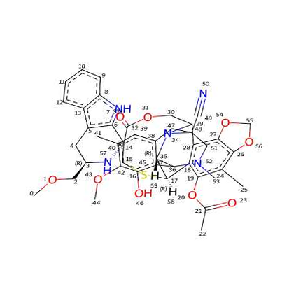 COC[C@H]1Cc2c([nH]c3ccccc23)[C@@]2(CS[C@@H]3c4c(OC(C)=O)c(C)c5c(c4C(COC2=O)N2[C@@H]3C3c4c(cc(C)c(OC)c4O)CC2(C#N)CN3C)OCO5)N1